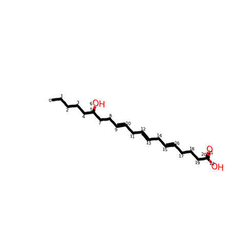 CCCCCC(O)CCC=CCC=CCC=CCCCC(=O)O